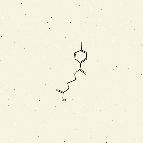 O=C(O)CCCOC(=O)c1ccc(F)cc1